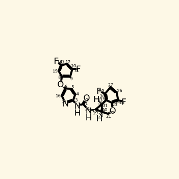 O=C(Nc1ccc(Oc2cc(F)cc(F)c2)cn1)N[C@@H]1[C@@H]2COc3c(F)ccc(F)c3[C@@H]21